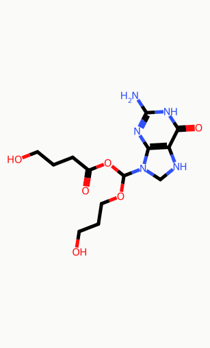 Nc1nc2c(c(=O)[nH]1)NCN2C(OCCCO)OC(=O)CCCO